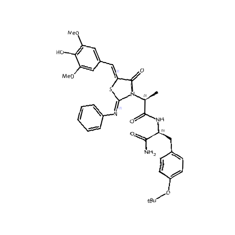 COc1cc(/C=C2\S/C(=N\c3ccccc3)N([C@@H](C)C(=O)N[C@@H](Cc3ccc(OC(C)(C)C)cc3)C(N)=O)C2=O)cc(OC)c1O